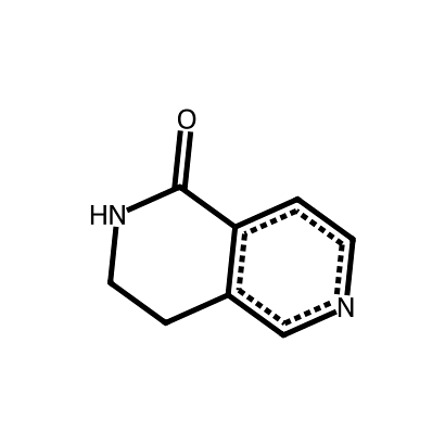 O=C1NCCc2cnccc21